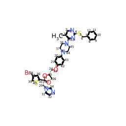 Cc1cnc(SCc2ccccc2)nc1N1CCN(c2ccc(OC[C@@H]3CO[C@@](Cn4ccnc4)(c4cc(Br)cs4)O3)cc2)CC1